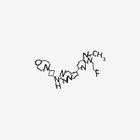 Cc1nc2ccc(-c3ccn4nc(N[C@H]5C[C@H](N6CCOCC6)C5)ncc34)nc2n1CCF